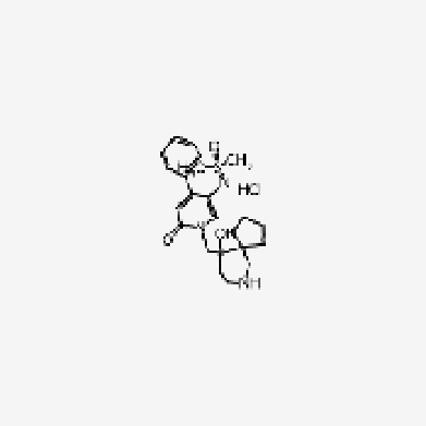 CS(C)(=O)=Nc1cn(CC2(O)CCNCC23CCCC3)c(=O)cc1-c1ccccc1.Cl